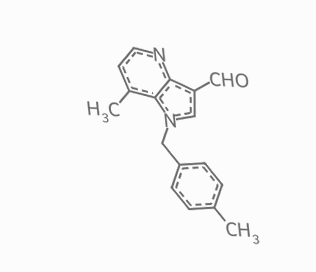 Cc1ccc(Cn2cc(C=O)c3nccc(C)c32)cc1